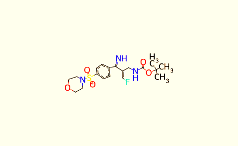 CC(C)(C)OC(=O)NCC(=CF)C(=N)c1ccc(S(=O)(=O)N2CCOCC2)cc1